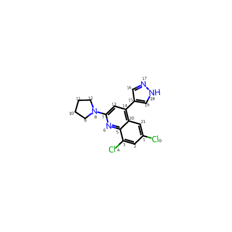 Clc1cc(Cl)c2nc(N3CCCC3)cc(-c3cn[nH]c3)c2c1